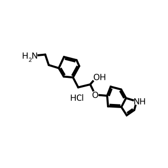 Cl.NCCc1cccc(CC(O)Oc2ccc3[nH]ccc3c2)c1